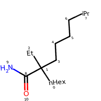 CCCCCCC(CC)(CCCCC(C)C)C(N)=O